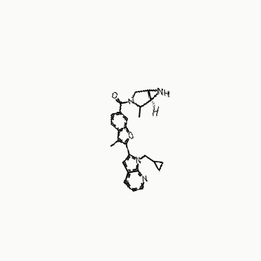 Cc1c(-c2cc3cccnc3n2CC2CC2)oc2cc(C(=O)N3CC4N[C@H]4C3C)ccc12